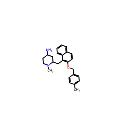 Cc1ccc(COc2ccc3ccccc3c2CC2CC(N)CCN2C)cc1